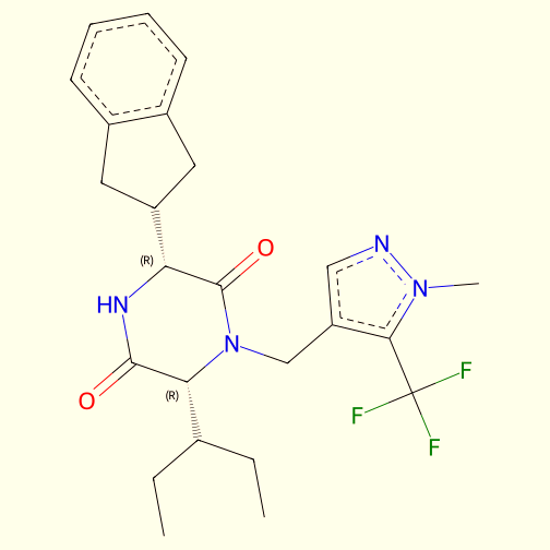 CCC(CC)[C@@H]1C(=O)N[C@H](C2Cc3ccccc3C2)C(=O)N1Cc1cnn(C)c1C(F)(F)F